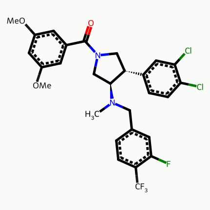 COc1cc(OC)cc(C(=O)N2C[C@H](c3ccc(Cl)c(Cl)c3)[C@@H](N(C)Cc3ccc(C(F)(F)F)c(F)c3)C2)c1